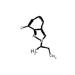 CCC(C)n1cc2cccc(Cl)c2n1